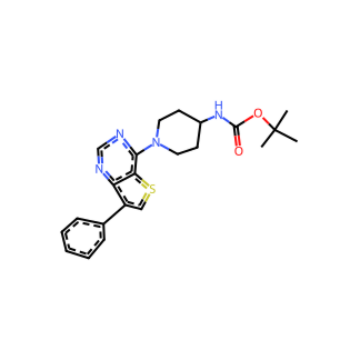 CC(C)(C)OC(=O)NC1CCN(c2ncnc3c(-c4ccccc4)csc23)CC1